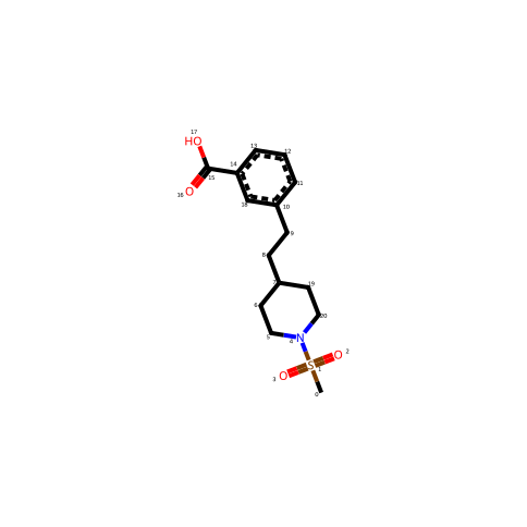 CS(=O)(=O)N1CCC(CCc2cccc(C(=O)O)c2)CC1